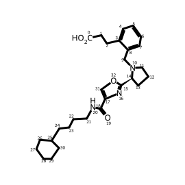 O=C(O)CCc1ccccc1CN1CCC[C@H]1c1nc(C(=O)NCCCCC2CCCCC2)co1